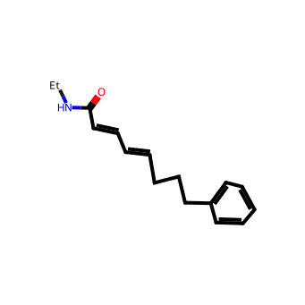 CCNC(=O)/C=C/C=C/CCCc1ccccc1